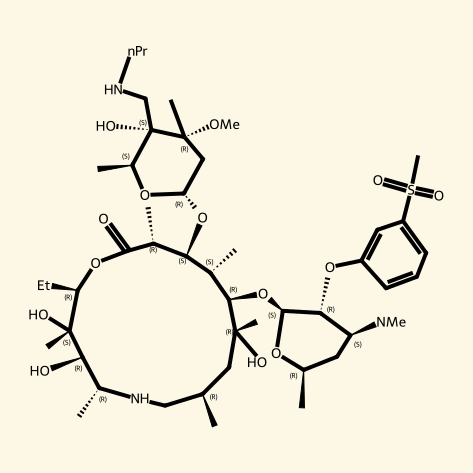 CCCNC[C@]1(O)[C@H](C)O[C@@H](O[C@H]2[C@H](C)[C@@H](O[C@@H]3O[C@H](C)C[C@H](NC)[C@H]3Oc3cccc(S(C)(=O)=O)c3)[C@](C)(O)C[C@@H](C)CN[C@H](C)[C@@H](O)[C@](C)(O)[C@@H](CC)OC(=O)[C@@H]2C)C[C@@]1(C)OC